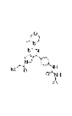 CC1COCCN1c1nc2c(c(-c3ccc(NC(=O)NC4CC4)cc3)n1)CN(C(=O)CC#N)C2